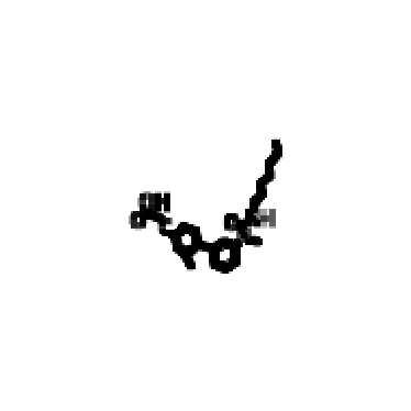 CCCCCCCNC(=O)N(C)c1cccc(-c2ccc(CCC(=O)O)cc2C)c1